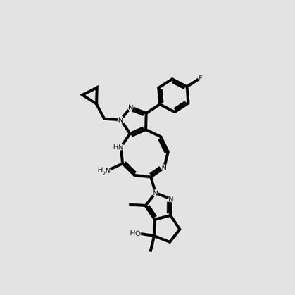 Cc1c2c(nn1-c1cc(N)[nH]c3c(ccn1)c(-c1ccc(F)cc1)nn3CC1CC1)CCC2(C)O